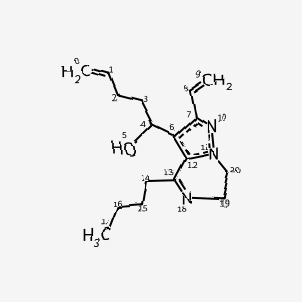 C=CCCC(O)c1c(C=C)nn2c1C(CCCC)=NCC2